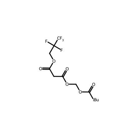 CCC(C)C(=O)OCOC(=O)CC(=O)OCC(F)(F)C(F)(F)F